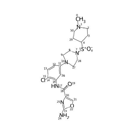 CN1CCC([S+]([O-])N2CCN(c3ccc(Cl)c(NC(=O)c4coc(N)n4)c3)CC2)CC1